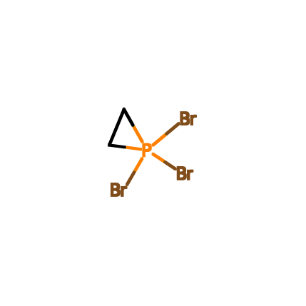 BrP1(Br)(Br)CC1